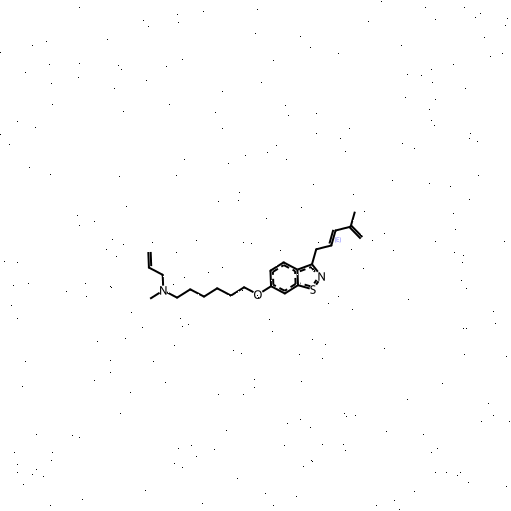 C=CCN(C)CCCCCCOc1ccc2c(C/C=C/C(=C)C)nsc2c1